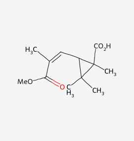 COC(=O)C(C)=CC1C(C)(C)C1(C)C(=O)O